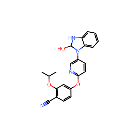 CC(C)Oc1cc(Oc2ccc(N3c4ccccc4NC3O)cn2)ccc1C#N